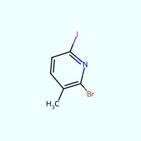 Cc1ccc(I)nc1Br